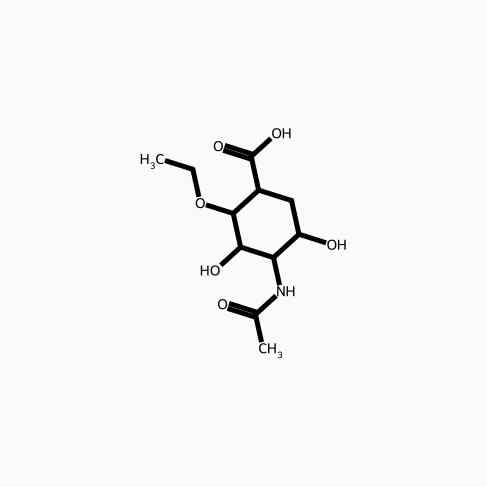 CCOC1C(C(=O)O)CC(O)C(NC(C)=O)C1O